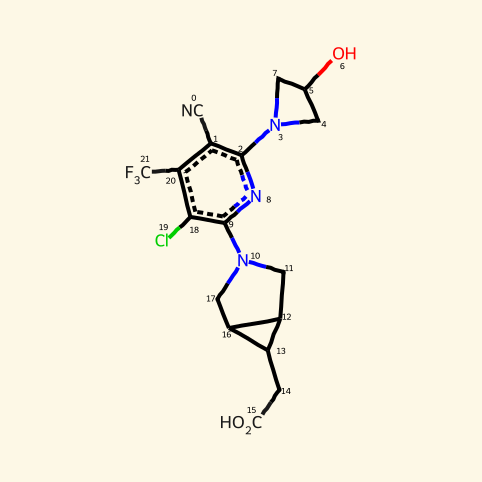 N#Cc1c(N2CC(O)C2)nc(N2CC3C(CC(=O)O)C3C2)c(Cl)c1C(F)(F)F